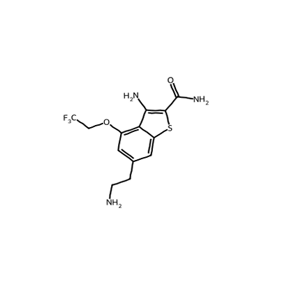 NCCc1cc(OCC(F)(F)F)c2c(N)c(C(N)=O)sc2c1